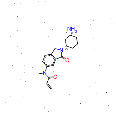 C=CC(=O)N(C)c1ccc2c(c1)C(=O)N([C@H]1CCC[C@@H](N)C1)C2